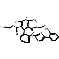 CCOC(=O)C1=C(C)NC(C)=C(C(=O)OCC)C1c1ccccc1Nc1nc(-c2ccccc2O)cs1